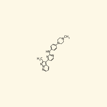 Cc1nn2ncccc2c1-c1ccnc(Nc2ccc(N3CCN(C)CC3)cc2)n1